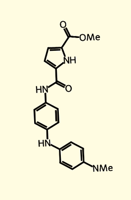 CNc1ccc(Nc2ccc(NC(=O)c3ccc(C(=O)OC)[nH]3)cc2)cc1